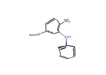 COc1ccc([N+](=O)[O-])c(Nc2ccccc2)c1